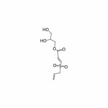 C=CCS(=O)(=O)C=CC(=O)OCC(O)CO